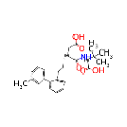 Cc1cccc(-c2ccccc2CCC[C@H](CC(=O)O)C(=O)N[C@H](C(=O)O)C(C)(C)C)c1